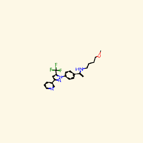 C=C(NCCCCOC)c1ccc(-n2nc(-c3cccnc3)cc2C(F)(F)F)cc1